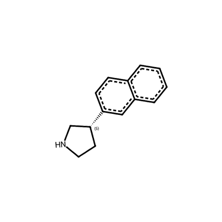 c1ccc2cc([C@@H]3CCNC3)ccc2c1